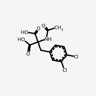 CC(=O)NC(Cc1ccc(Cl)c(Cl)c1)(C(=O)O)C(=O)O